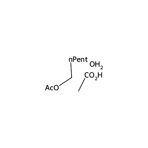 CC(=O)O.CCCCCCOC(C)=O.O